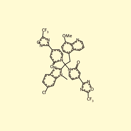 COc1ccc(CC(c2nc3ccc(Cl)cc3n2C)(n2ccc(-c3noc(C(F)(F)F)n3)cc2=O)n2ccc(-c3noc(C(F)(F)F)n3)cc2=O)c2cccnc12